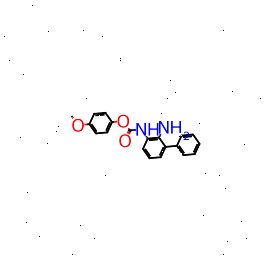 COc1ccc(OC(=O)Nc2cccc(-c3ccccc3)c2N)cc1